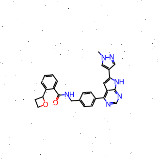 Cn1cc(-c2cc3c(-c4ccc(CNC(=O)c5ccccc5C5CCO5)cc4)ncnc3[nH]2)cn1